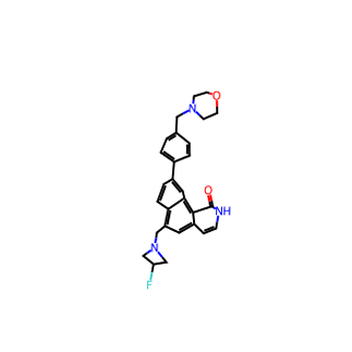 O=c1[nH]ccc2cc(CN3CC(F)C3)c3ccc(-c4ccc(CN5CCOCC5)cc4)cc3c12